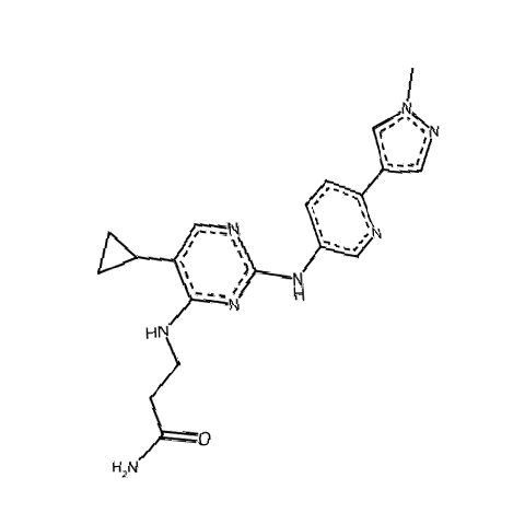 Cn1cc(-c2ccc(Nc3ncc(C4CC4)c(NCCC(N)=O)n3)cn2)cn1